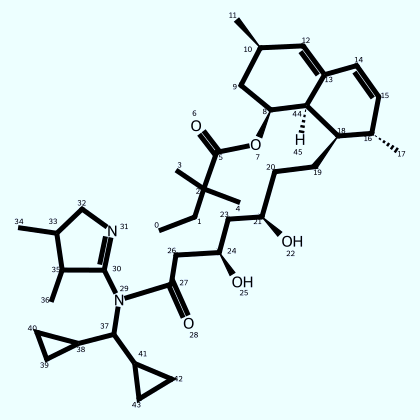 CCC(C)(C)C(=O)O[C@H]1C[C@@H](C)C=C2C=C[C@H](C)[C@@H](CC[C@@H](O)C[C@@H](O)CC(=O)N(C3=NCC(C)C3C)C(C3CC3)C3CC3)[C@H]21